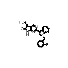 O=C1Nc2nc(-c3nn(Cc4ccccc4F)c4ncccc34)ncc2/C1=N/O